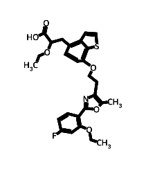 CCOc1cc(F)ccc1-c1nc(CCOc2ccc(CC(OCC)C(=O)O)c3ccsc23)c(C)o1